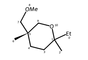 CCC1(C)CC[C@](C)(COC)CO1